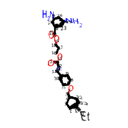 CCC1CCC(COc2ccc(/C=C/C(=O)OCCCOC(=O)c3cc(N)cc(N)c3)cc2)CC1